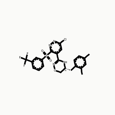 Cc1ccc(C[C@@H]2CON=C(c3cc(Cl)nnc3S(=O)(=O)c3cccc(C(F)(F)F)c3)N2)c(C)c1